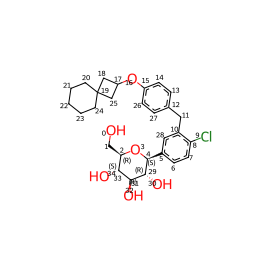 OC[C@H]1O[C@@H](c2ccc(Cl)c(Cc3ccc(OC4CC5(CCCCC5)C4)cc3)c2)[C@H](O)[C@@H](O)[C@@H]1O